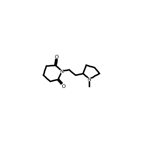 CN1CCCC1CCN1C(=O)CCCC1=O